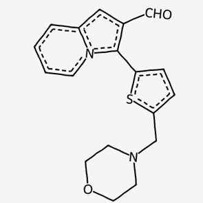 O=Cc1cc2ccccn2c1-c1ccc(CN2CCOCC2)s1